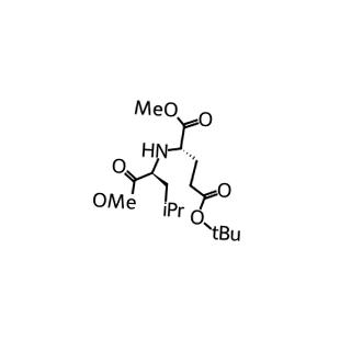 COC(=O)[C@H](CCC(=O)OC(C)(C)C)N[C@@H](CC(C)C)C(=O)OC